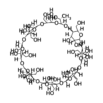 C[C@@H](O)[C@H]1O[C@H]2[C@H](O)[C@@H](O)[C@H](O[C@H]3[C@H](O)[C@@H](O)[C@@H](O[C@@H]4/C(=C/O)O[C@H](O[C@H]5[C@H](O)[C@@H](O)[C@@H](O[C@H]6[C@H](O)[C@@H](O)[C@H](O[C@@H]6CO)O[C@H]6C(O)[C@@H](O)[C@@H](O[C@H]7[C@H](O)[C@@H](O)[C@@H](O[C@@H](CO)[C@@H](CO)O1)O[C@@H]7CO)O[C@@H]6CO)O[C@@H]5CO)[C@H](O)[C@H]4O)O[C@@H]3CO)O[C@@H]2CO